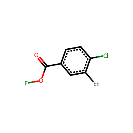 CCc1cc(C(=O)OF)ccc1Cl